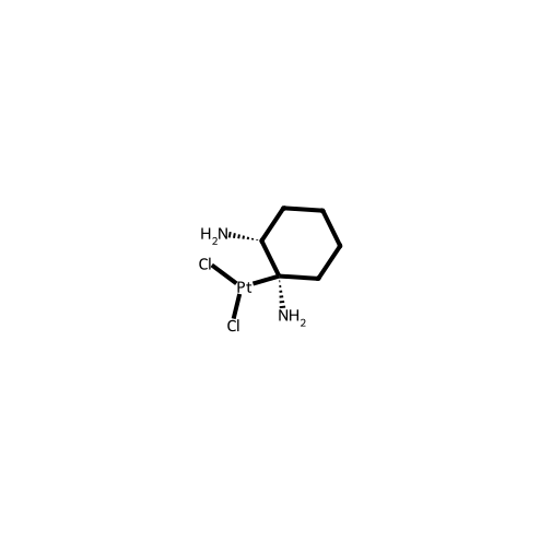 N[C@@H]1CCCC[C@@]1(N)[Pt]([Cl])[Cl]